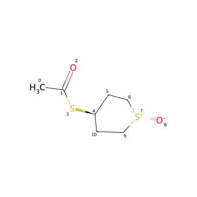 CC(=O)S[C@H]1CC[S@+]([O-])CC1